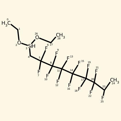 CCO[SiH](CC(F)(F)C(F)(F)C(F)(F)C(F)(F)C(F)(F)C(F)(F)C(C)F)OCC